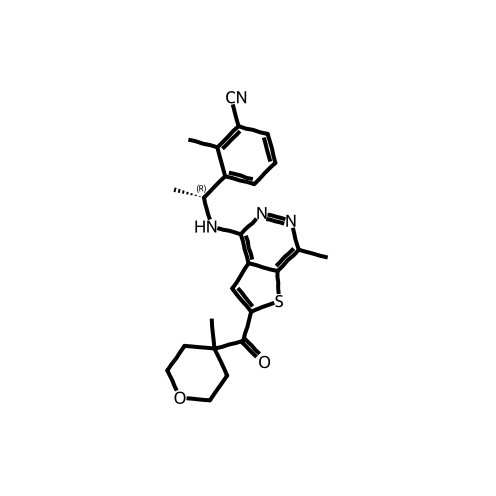 Cc1c(C#N)cccc1[C@@H](C)Nc1nnc(C)c2sc(C(=O)C3(C)CCOCC3)cc12